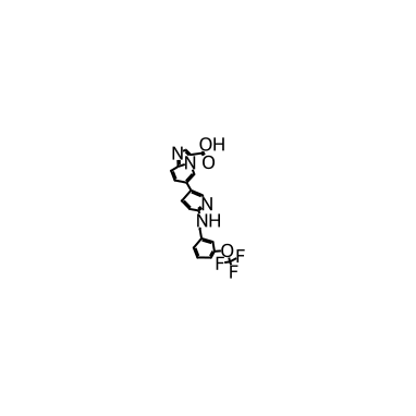 O=C(O)c1cnc2ccc(-c3ccc(NCc4cccc(OC(F)(F)F)c4)nc3)cn12